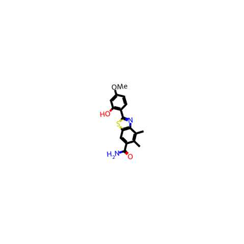 COc1ccc(-c2nc3c(C)c(C)c(C(N)=O)cc3s2)c(O)c1